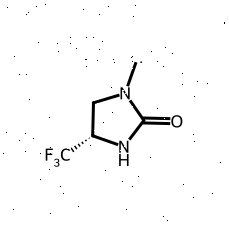 [CH2]N1C[C@@H](C(F)(F)F)NC1=O